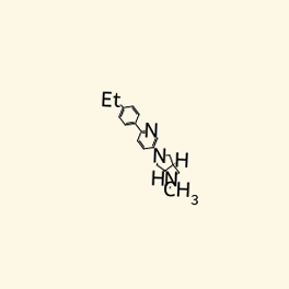 CCc1ccc(-c2ccc(N3C[C@H]4CN(C)[C@H]4C3)cn2)cc1